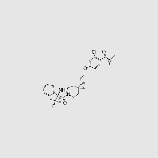 CN(C)C(=O)c1ccc(OCC[C@H]2CC23CCN(C(=O)[C@@](N)(c2ccccc2)C(F)(F)F)CC3)cc1Cl